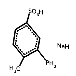 Cc1ccc(S(=O)(=O)O)cc1P.[NaH]